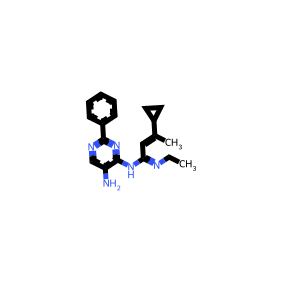 CC/N=C(\C=C(/C)C1CC1)Nc1nc(-c2ccccc2)ncc1N